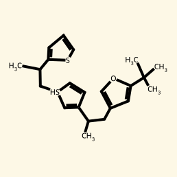 CC(Cc1coc(C(C)(C)C)c1)C1=C[SH](CC(C)c2cccs2)C=C1